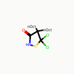 CCCCCCCCC1(CCCCCCCC)C(=O)NSC1(Cl)Cl